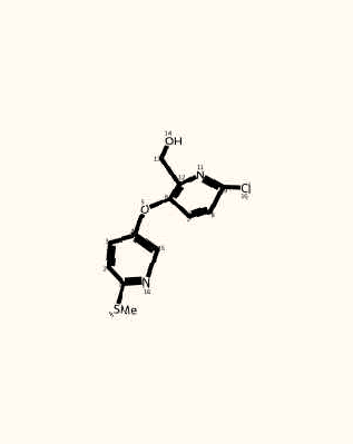 CSc1ccc(Oc2ccc(Cl)nc2CO)cn1